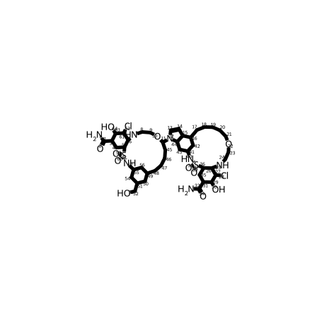 NC(=O)C1CC2C(NCCOC(N3C=CC4C5CCCCCOCCNC6C(Cl)C(O)C(C(N)=O)CC6S(=O)(=O)NC(C5)CC43)CCCCC3CC(CO)CC(C3)NS2(=O)=O)C(Cl)C1O